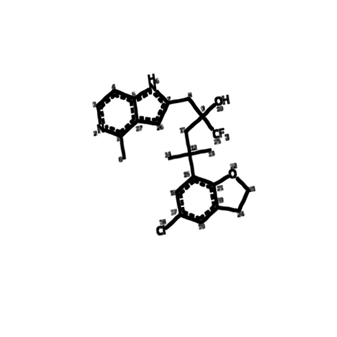 Cc1nccc2[nH]c(CC(O)(CC(C)(C)c3cc(Cl)cc4c3OCC4)C(F)(F)F)cc12